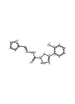 O=C(N/N=C/c1ccco1)C1CC(c2ccccc2Cl)=NN1